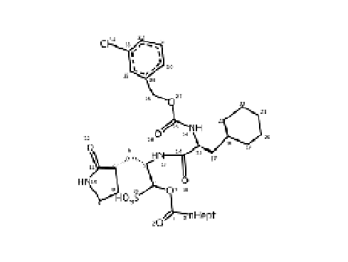 CCCCCCCC(=O)OC([C@H](C[C@@H]1CCNC1=O)NC(=O)[C@H](CC1CCCCC1)NC(=O)OCc1cccc(Cl)c1)S(=O)(=O)O